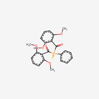 COc1cccc(OC)c1C(=O)P(=S)(C(=O)c1c(OC)cccc1OC)c1ccccc1